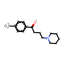 O=C(CCCN1CCCCC1)c1ccc([N+](=O)[O-])cc1